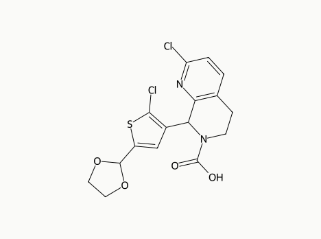 O=C(O)N1CCc2ccc(Cl)nc2C1c1cc(C2OCCO2)sc1Cl